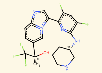 C[C@@](O)(c1ccc2ncc(-c3nc(N[C@H]4CCCNC4)c(F)cc3F)n2c1)C(F)(F)F